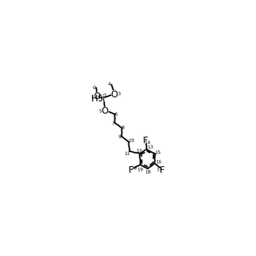 CO[SiH](OC)OCCCCCCc1c(F)cc(F)cc1F